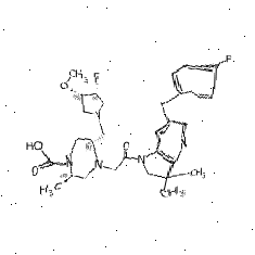 CO[C@H]1CN(C[C@H]2CN(C(=O)O)[C@H](C)CN2CC(=O)N2CC(C)(C)c3ncc(Cc4ccc(F)cc4)cc32)C[C@H]1F